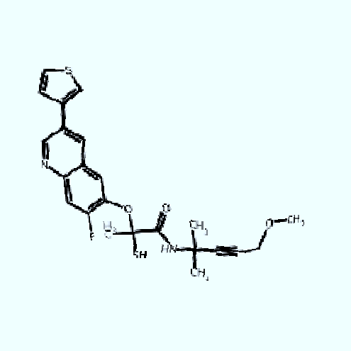 COCC#CC(C)(C)NC(=O)C(C)(S)Oc1cc2cc(-c3ccsc3)cnc2cc1F